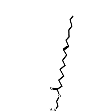 CCCCCC/C=C/CCCCCCCC(=O)OCCN